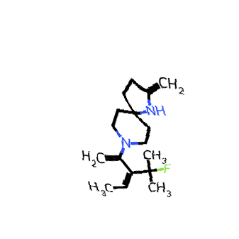 C=C1CCC2(CCN(C(=C)/C(=C\C)C(C)(C)F)CC2)N1